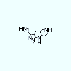 Cc1c(C2CNC2)nn(C)c1NC1CCNCC1